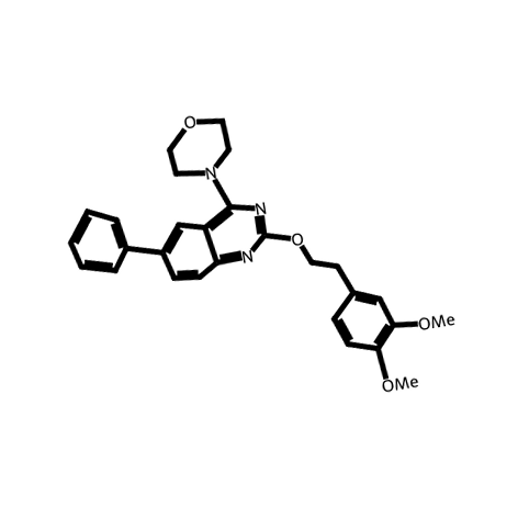 COc1ccc(CCOc2nc(N3CCOCC3)c3cc(-c4ccccc4)ccc3n2)cc1OC